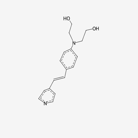 OCCN(CCO)c1ccc(/C=C/c2ccncc2)cc1